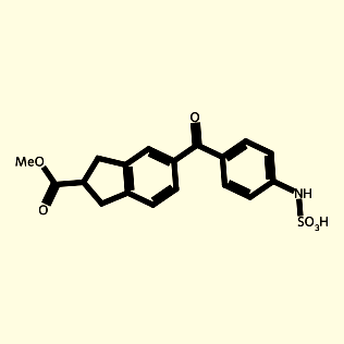 COC(=O)C1Cc2ccc(C(=O)c3ccc(NS(=O)(=O)O)cc3)cc2C1